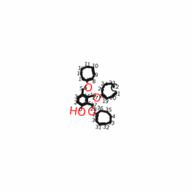 Oc1ccc(COC2=CC=CCCCC2)c(COC2=CC=CCCCC2)c1COC1=CC=CCCCC1